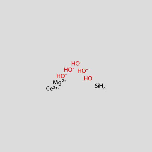 [Ce+3].[Mg+2].[OH-].[OH-].[OH-].[OH-].[OH-].[SiH4]